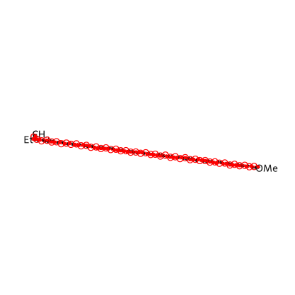 C=COC(CC)COCCOCCOCCOCCOCCOCCOCCOCCOCCOCCOCCOCCOCCOCCOCCOCCOCCOCCOCCOCCOCCOCCOCCOCCOCCOCCOCCOCCOCCOCCOCCOCCOCCOCCOCCOCCOCCOCCOCCOCCOCCOCCOCCOCCOCCOC